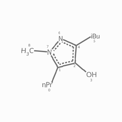 CCCc1c(O)c(C(C)CC)nn1C